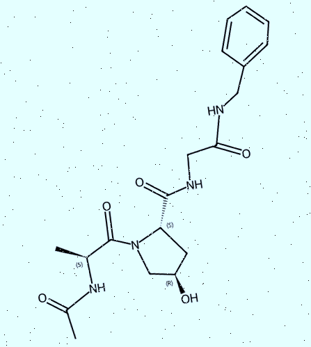 CC(=O)N[C@@H](C)C(=O)N1C[C@H](O)C[C@H]1C(=O)NCC(=O)NCc1ccccc1